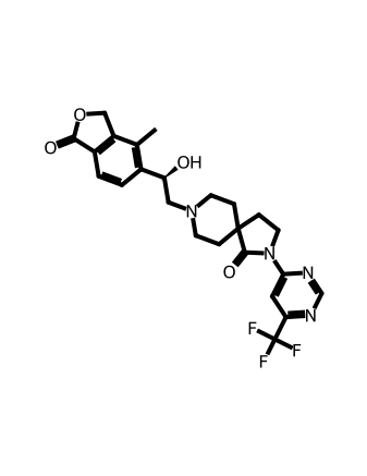 Cc1c([C@@H](O)CN2CCC3(CC2)CCN(c2cc(C(F)(F)F)ncn2)C3=O)ccc2c1COC2=O